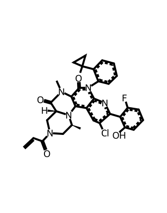 C=CC(=O)N1C[C@@H]2C(=O)N(C)c3c(c4cc(Cl)c(-c5c(O)cccc5F)nc4n(-c4ccccc4C4(C)CC4)c3=O)N2[C@@H](C)C1